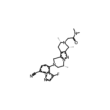 C[C@@H]1c2nn3c(c2C[C@H](C)N1CC(=O)N(C)C)CN(c1ccc(C#N)n2ncc(F)c12)C[C@H]3C